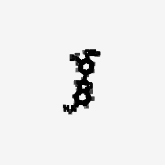 COc1ccc(-c2nc3cc(N)ccc3o2)cc1Br